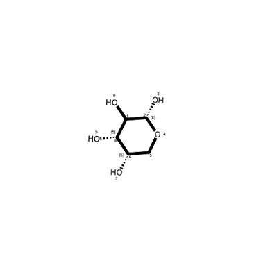 OC1[C@H](O)OC[C@H](O)[C@@H]1O